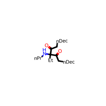 CCCCCCCCCCCC(=O)C(CC)(NCCC)C(=O)CCCCCCCCCCC